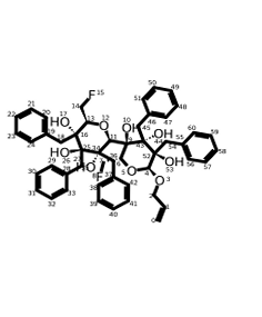 C=CCO[C@H]1O[C@H](CF)[C@](O)([C@@H]2O[C@H](CF)[C@](O)(Cc3ccccc3)[C@@](O)(Cc3ccccc3)[C@]2(O)Cc2ccccc2)[C@@](O)(Cc2ccccc2)[C@]1(O)Cc1ccccc1